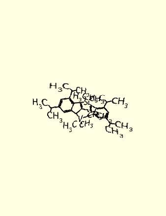 CCC1=C2c3c(C(C)C)cc(C(C)C)cc3[CH]1[V]([CH3])([CH3])[CH]1C(CC)=C(c3c(C(C)C)cc(C(C)C)cc31)[Si]2(C)C